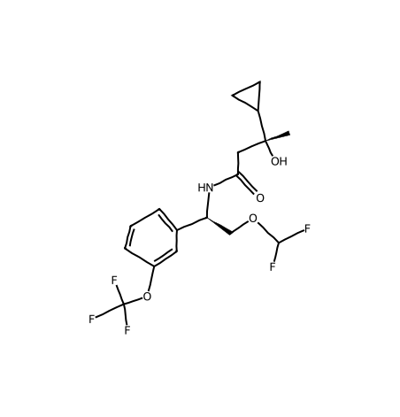 C[C@@](O)(CC(=O)N[C@@H](COC(F)F)c1cccc(OC(F)(F)F)c1)C1CC1